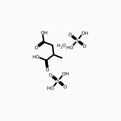 CC(CC(=O)O)C(=O)O.O.O=S(=O)(O)O.O=S(=O)(O)O